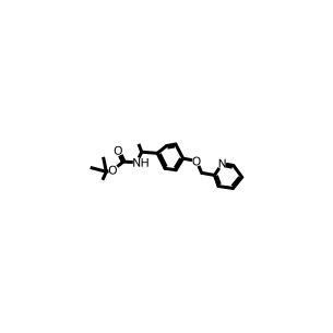 CC(NC(=O)OC(C)(C)C)c1ccc(OCc2ccccn2)cc1